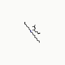 C=CCCC(C)C=C(C)C.C=CCCCC/C=C/CCCCCCCC